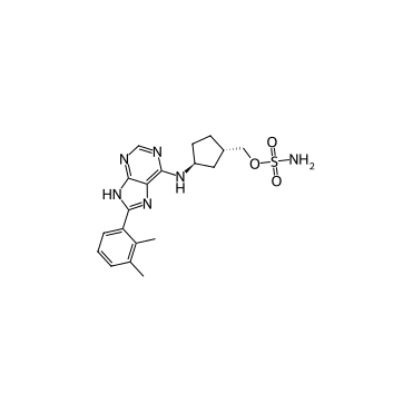 Cc1cccc(-c2nc3c(N[C@H]4CC[C@H](COS(N)(=O)=O)C4)ncnc3[nH]2)c1C